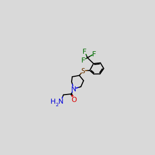 NCC(=O)N1CCC(Sc2ccccc2C(F)(F)F)CC1